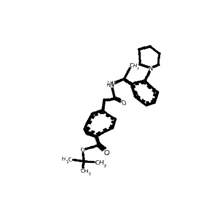 CC(NC(=O)Cc1ccc(C(=O)OC(C)(C)C)cc1)c1ccccc1N1CCCCC1